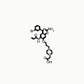 C=CC(=O)Nc1cc2c(-c3cccc(Br)c3)nc(N)nc2cc1OCCCN1CCN(CC(=O)O)CC1